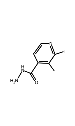 NNC(=O)c1ccnc(I)c1I